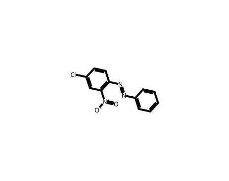 O=[N+]([O-])c1cc(Cl)ccc1N=Nc1ccccc1